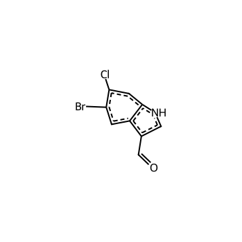 O=Cc1c[nH]c2cc(Cl)c(Br)cc12